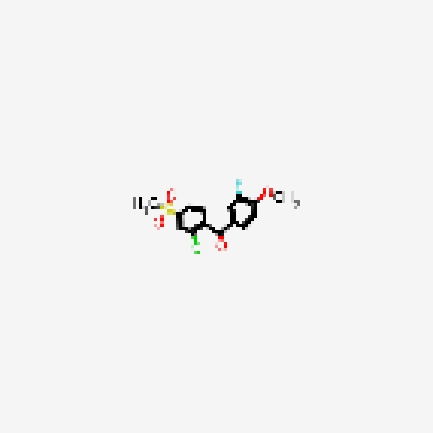 COc1ccc(C(=O)c2ccc(S(C)(=O)=O)cc2Cl)cc1F